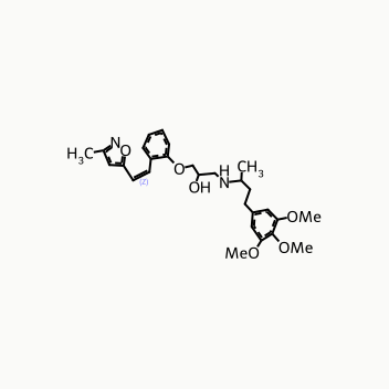 COc1cc(CCC(C)NCC(O)COc2ccccc2/C=C\c2cc(C)no2)cc(OC)c1OC